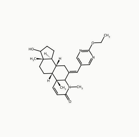 CCOc1ncc(C=C2C[C@@H]3[C@@H](CC[C@]4(C)C(O)CC[C@@H]34)[C@@]3(C)C=CC(=O)N(C)C23)cn1